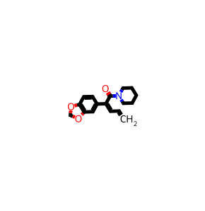 C=CC=C(C(=O)N1CCCCC1)c1ccc2c(c1)OCO2